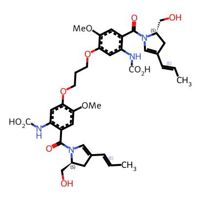 C/C=C/C1=CN(C(=O)c2cc(OC)c(OCCCOc3cc(NC(=O)O)c(C(=O)N4C=C(/C=C/C)C[C@H]4CO)cc3OC)cc2NC(=O)O)[C@H](CO)C1